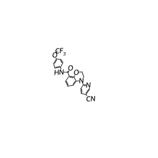 N#Cc1ccc(N2CCOc3c(C(=O)Nc4ccc(OC(F)(F)F)cc4)cccc32)nc1